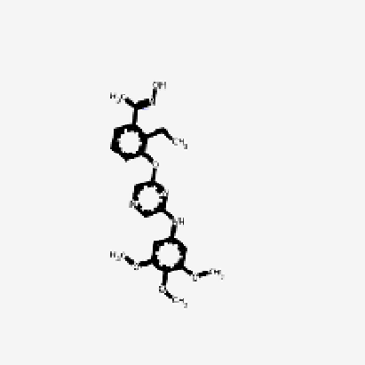 CCc1c(Oc2cncc(Nc3cc(OC)c(OC)c(OC)c3)n2)cccc1/C(C)=N/O